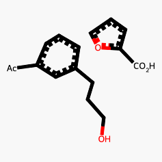 CC(=O)c1cccc(CCCO)c1.O=C(O)c1ccco1